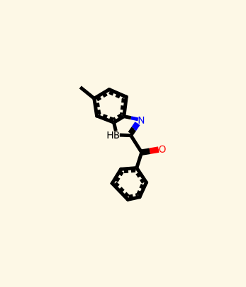 Cc1ccc2c(c1)BC(C(=O)c1ccccc1)=N2